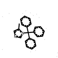 Cc1cncn1C(c1ccccc1)(c1ccccc1)c1ccccc1